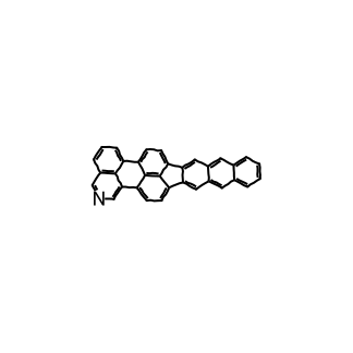 c1ccc2cc3cc4c(cc3cc2c1)-c1ccc2c3cccc5cncc(c6ccc-4c1c26)c53